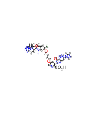 O=C(Nc1cc(OCCCCOc2cnc(C(=O)O)c(NC(=O)c3ccc(-n4ccnc4)nn3)c2)c(F)cc1C(=O)O)c1ccc2nnnn2n1